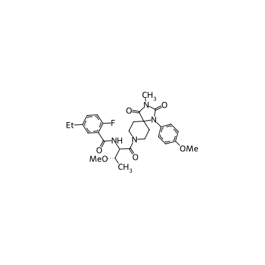 CCc1ccc(F)c(C(=O)NC(C(=O)N2CCC3(CC2)C(=O)N(C)C(=O)N3c2ccc(OC)cc2)[C@H](C)OC)c1